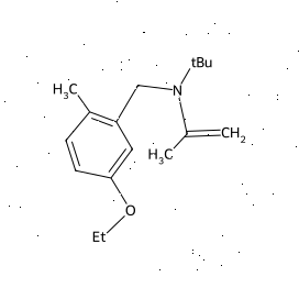 C=C(C)N(Cc1cc(OCC)ccc1C)C(C)(C)C